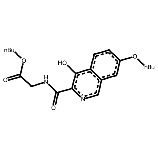 CCCCOC(=O)CNC(=O)c1ncc2cc(OCCCC)ccc2c1O